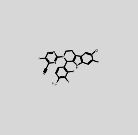 Cc1ccc(C2c3[nH]c4cc(F)c(Cl)cc4c3CCN2c2ncc(F)c(C#N)n2)c(F)c1F